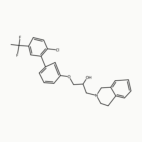 CC(F)(F)c1ccc(Cl)c(-c2cccc(OCC(O)CN3CCc4ccccc4C3)c2)c1